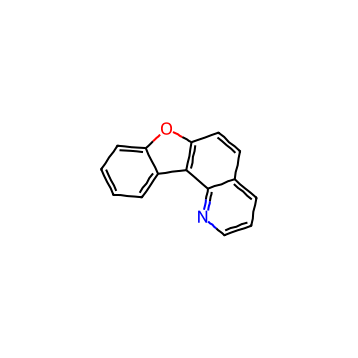 c1cnc2c(c1)ccc1oc3ccccc3c12